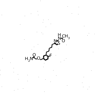 CC(=O)Nc1nc(CCCCCc2cc(COCC(N)=O)ccc2F)cs1